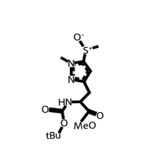 COC(=O)C(Cc1cc([S+](C)[O-])n(C)n1)NC(=O)OC(C)(C)C